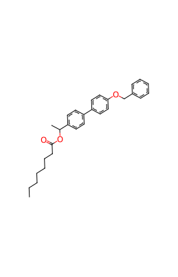 CCCCCCCC(=O)OC(C)c1ccc(-c2ccc(OCc3ccccc3)cc2)cc1